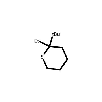 CCC1(C(C)(C)C)CCCCS1